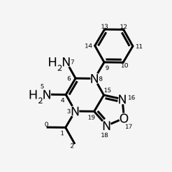 CC(C)N1C(N)=C(N)N(c2ccccc2)c2nonc21